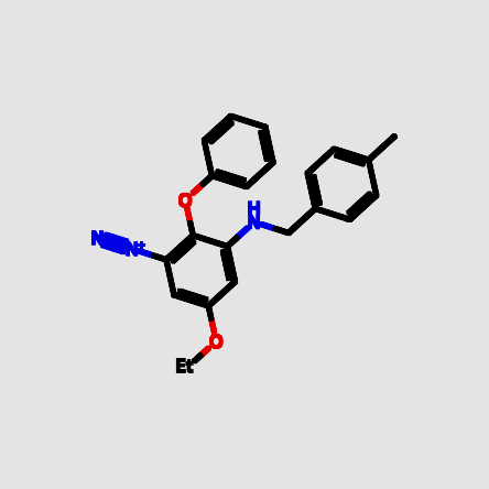 CCOc1cc([N+]#N)c(Oc2ccccc2)c(NCc2ccc(C)cc2)c1